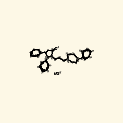 Cl.O=C1CC(c2ccccc2)N(c2ccccc2)N1CCCN1CCN(c2ccccn2)CC1